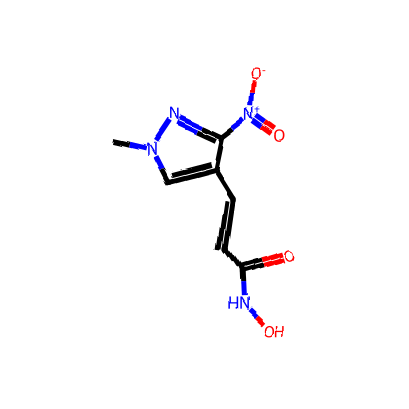 Cn1cc(C=CC(=O)NO)c([N+](=O)[O-])n1